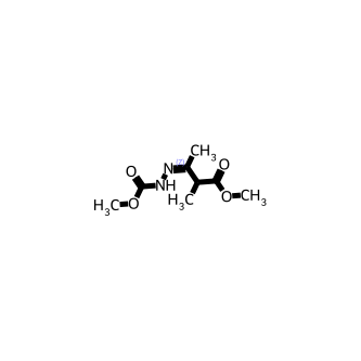 COC(=O)N/N=C(/C)C(C)C(=O)OC